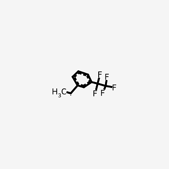 C[CH]c1cccc(C(F)(F)C(F)(F)F)c1